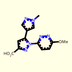 COc1ccc(-n2nc(C(=O)O)cc2-c2cnn(C)c2)nn1